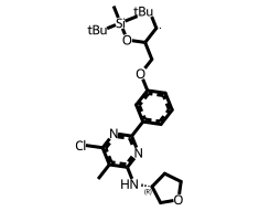 Cc1c(Cl)nc(-c2cccc(OCC([CH]C(C)(C)C)O[Si](C)(C)C(C)(C)C)c2)nc1N[C@@H]1CCOC1